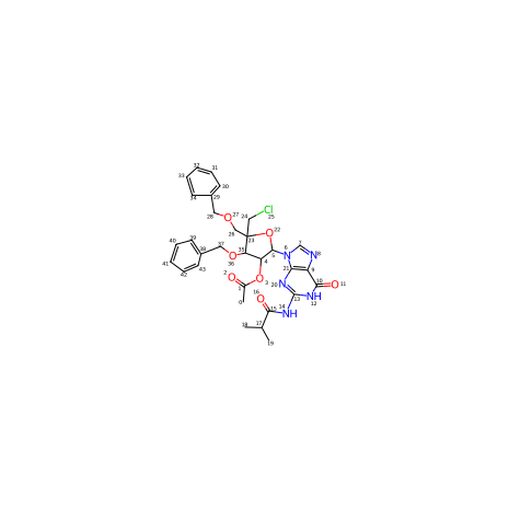 CC(=O)OC1C(n2cnc3c(=O)[nH]c(NC(=O)C(C)C)nc32)OC(CCl)(COCc2ccccc2)C1OCc1ccccc1